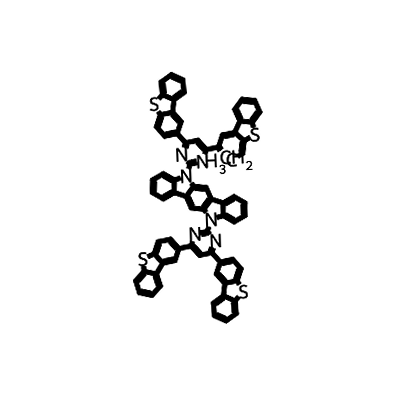 C=C(/C=c1\c(=C/C)sc2ccccc12)c1cc(-c2ccc3sc4ccccc4c3c2)nc(-n2c3ccccc3c3cc4c(cc32)c2ccccc2n4-c2nc(-c3ccc4sc5ccccc5c4c3)cc(-c3ccc4sc5ccccc5c4c3)n2)n1